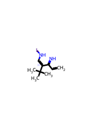 C=CC(=N)/C(=C\NI)C(C)(C)C